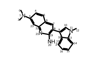 CN(C)c1ccc2cc(-c3cn(C)c4ccccc34)c(N)nc2c1